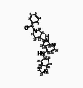 O=C(c1ccccc1)N1CC=C(c2cc3c(Nc4ccc5ncsc5c4)ccnc3[nH]2)CC1